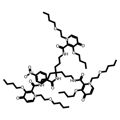 CCCCOCCn1ccc(=O)c(OCCCC)c1C(=O)NCCCC(CCCNC(=O)c1c(OCCCC)c(=O)ccn1CCOCCCC)(CCCNC(=O)c1c(OCCCC)c(=O)ccn1CCOCCCC)NC(=O)c1ccc([N+](=O)[O-])cc1